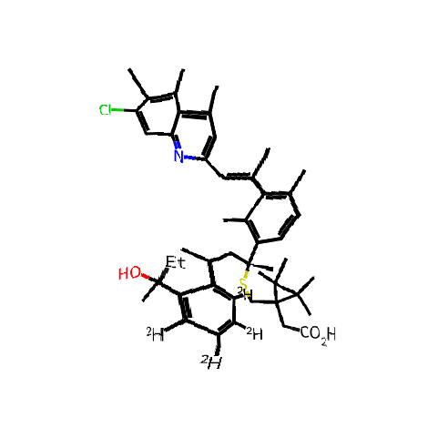 [2H]c1c([2H])c([2H])c(C(C)(O)CC)c(C(C)C[C@@](C)(SCC2(CC(=O)O)C(C)(C)C2(C)C)c2ccc(C)c(/C(C)=C/c3cc(C)c4c(C)c(C)c(Cl)cc4n3)c2C)c1[2H]